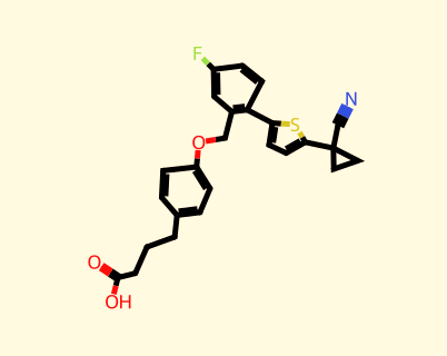 N#CC1(c2ccc(-c3ccc(F)cc3COc3ccc(CCCC(=O)O)cc3)s2)CC1